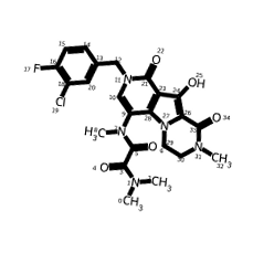 CN(C)C(=O)C(=O)N(C)c1cn(Cc2ccc(F)c(Cl)c2)c(=O)c2c(O)c3n(c12)CCN(C)C3=O